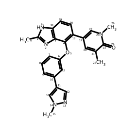 Cc1nc2c(Oc3cccc(-c4cnn(C)c4)c3)c(-c3cc(C)c(=O)n(C)c3)ccc2[nH]1